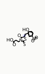 O=C(O)CCN1C(=O)/C(=C/c2cc([N+](=O)[O-])ccc2O)SC1=S